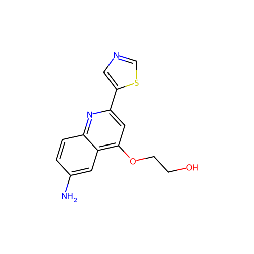 Nc1ccc2nc(-c3cncs3)cc(OCCO)c2c1